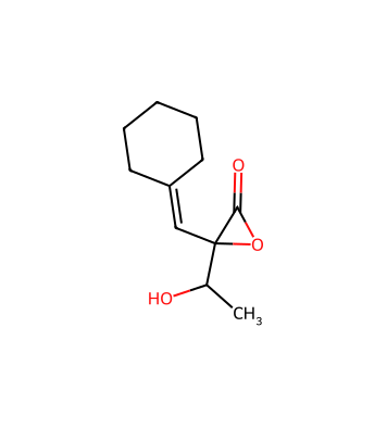 CC(O)C1(C=C2CCCCC2)OC1=O